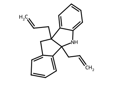 C=CCC12Cc3ccccc3C1(CC=C)Nc1ccccc12